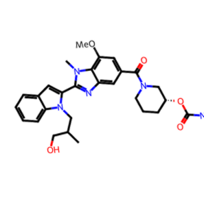 COc1cc(C(=O)N2CCC[C@@H](OC(N)=O)C2)cc2nc(-c3cc4ccccc4n3CC(C)CO)n(C)c12